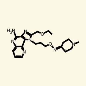 CCOCc1nc2c(N)nc3cccnc3c2n1CCCON=C1CCN(C)CC1